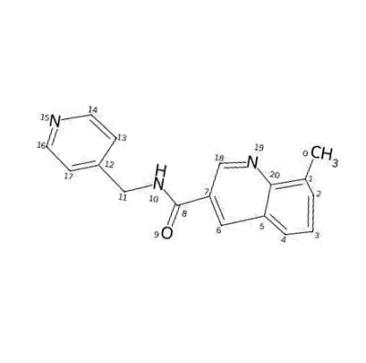 Cc1cccc2cc(C(=O)NCc3ccncc3)cnc12